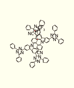 N#Cc1ccc(-n2c3ccc(-c4nc(-c5ccccc5)nc(-c5ccccc5)n4)cc3c3cc(-c4nc(-c5ccccc5)nc(-c5ccccc5)n4)ccc32)c(-c2cc(-c3ccc(C(F)(F)F)cc3C#N)ccc2-n2c3ccc(-c4nc(-c5ccccc5)nc(-c5ccccc5)n4)cc3c3cc(-c4nc(-c5ccccc5)nc(-c5ccccc5)n4)ccc32)c1